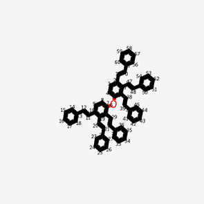 C(=Cc1ccc(Oc2ccc(C=Cc3ccccc3)c(C=Cc3ccccc3)c2C=Cc2ccccc2)c(C=Cc2ccccc2)c1C=Cc1ccccc1)c1ccccc1